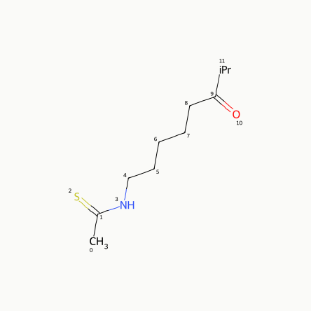 CC(=S)NCCCCCC(=O)C(C)C